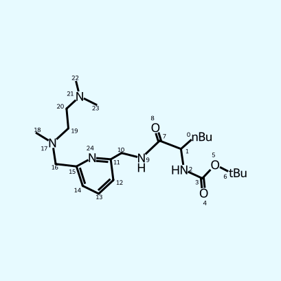 CCCCC(NC(=O)OC(C)(C)C)C(=O)NCc1cccc(CN(C)CCN(C)C)n1